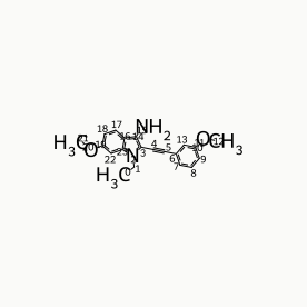 CCn1c(C#Cc2cccc(OC)c2)c(N)c2ccc(OC)cc21